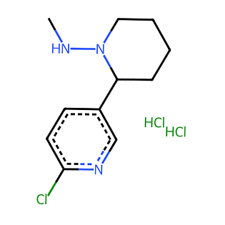 CNN1CCCCC1c1ccc(Cl)nc1.Cl.Cl